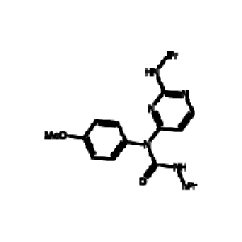 CCCNC(=O)N(c1ccc(OC)cc1)c1ccnc(NC(C)C)n1